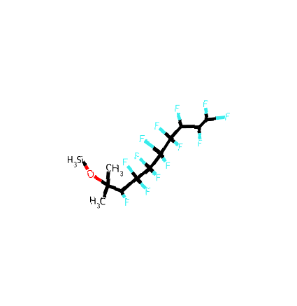 CC(C)(O[SiH3])C(F)C(F)(F)C(F)(F)C(F)(F)C(F)(F)C(F)C(F)C(F)F